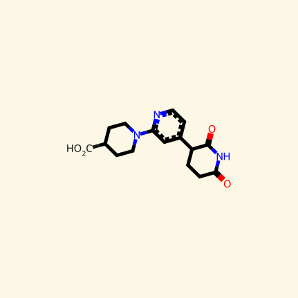 O=C1CCC(c2ccnc(N3CCC(C(=O)O)CC3)c2)C(=O)N1